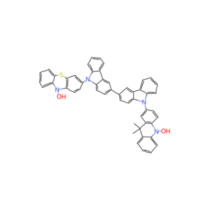 CC1(C)c2ccccc2N(O)c2ccc(-n3c4ccccc4c4cc(-c5ccc6c(c5)c5ccccc5n6-c5ccc6c(c5)Sc5ccccc5N6O)ccc43)cc21